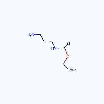 CCCCCCCOC(CC)NCCCN